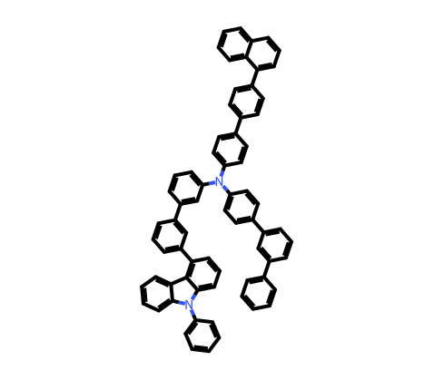 c1ccc(-c2cccc(-c3ccc(N(c4ccc(-c5ccc(-c6cccc7ccccc67)cc5)cc4)c4cccc(-c5cccc(-c6cccc7c6c6ccccc6n7-c6ccccc6)c5)c4)cc3)c2)cc1